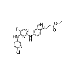 CCOC(=O)CCn1ncc2cc(Nc3ncc(F)c(Nc4ccc(Cl)nc4)n3)ccc21